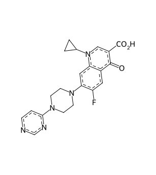 O=C(O)c1cn(C2CC2)c2cc(N3CCN(c4ccncn4)CC3)c(F)cc2c1=O